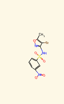 Cc1onc(NS(=O)(=O)c2cccc([N+](=O)[O-])c2)c1Br